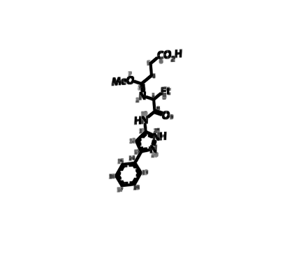 CCC(N=C(CCC(=O)O)OC)C(=O)Nc1cc(-c2ccccc2)n[nH]1